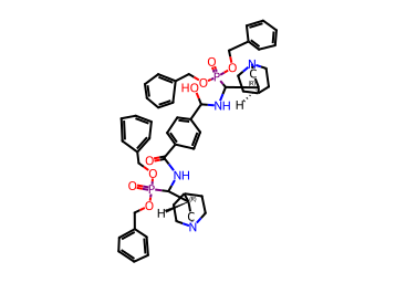 O=C(NC([C@H]1CN2CCC1CC2)P(=O)(OCc1ccccc1)OCc1ccccc1)c1ccc(C(O)NC([C@H]2CN3CCC2CC3)P(=O)(OCc2ccccc2)OCc2ccccc2)cc1